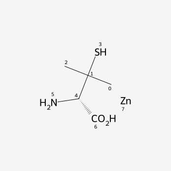 CC(C)(S)[C@@H](N)C(=O)O.[Zn]